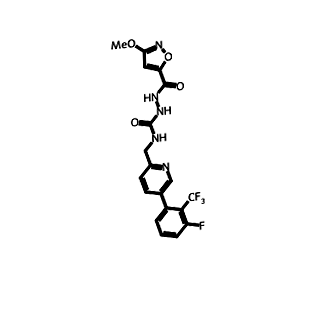 COc1cc(C(=O)NNC(=O)NCc2ccc(-c3cccc(F)c3C(F)(F)F)cn2)on1